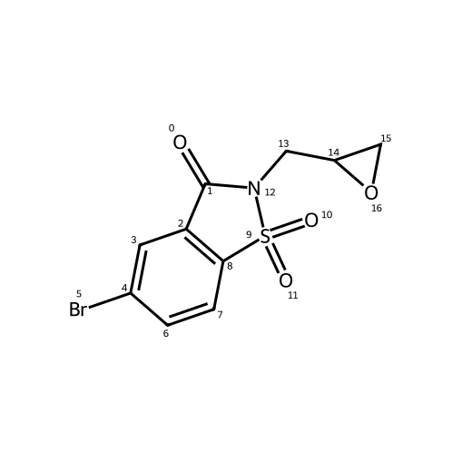 O=C1c2cc(Br)ccc2S(=O)(=O)N1CC1CO1